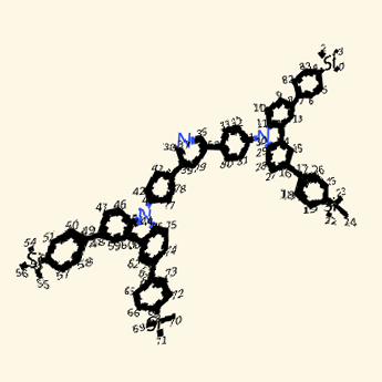 C[Si](C)(C)c1ccc(-c2ccc3c(c2)c2cc(-c4ccc([Si](C)(C)C)cc4)ccc2n3-c2ccc(-c3cncc(-c4ccc(-n5c6ccc(-c7ccc([Si](C)(C)C)cc7)cc6c6cc(-c7ccc([Si](C)(C)C)cc7)ccc65)cc4)c3)cc2)cc1